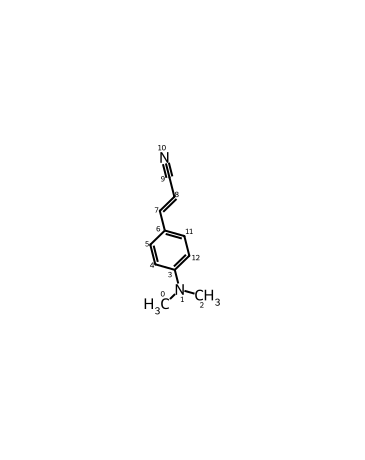 CN(C)c1ccc(/C=C/C#N)cc1